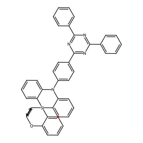 c1ccc(-c2nc(-c3ccccc3)nc(-c3ccc(N4c5ccccc5[Si]5(c6ccccc6Oc6ccccc65)c5ccccc54)cc3)n2)cc1